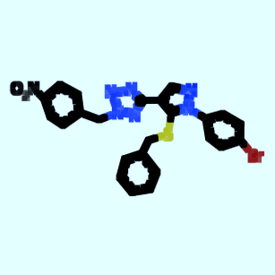 O=[N+]([O-])c1ccc(Cn2nnc(-c3cnn(-c4ccc(Br)cc4)c3SCc3ccccc3)n2)cc1